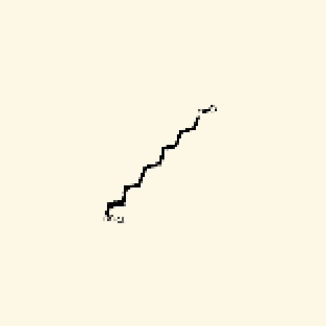 CCCCCCCCC=CCCCCCCCCSCC